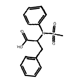 CS(=O)(=O)N(c1ccccc1)C(Cc1ccccc1)C(=O)O